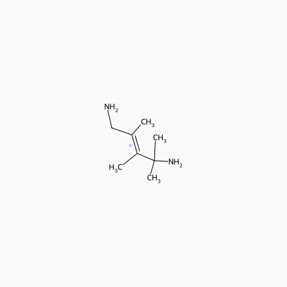 C/C(CN)=C(/C)C(C)(C)N